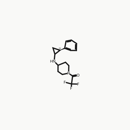 O=C(N1CCC(NC2C[C@H]2c2ccccc2)CC1)C(F)(F)F